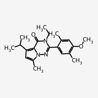 CCn1c(-c2cc(C)c(OC)cc2C)nn2c(C)cc(C(C)C)c2c1=O